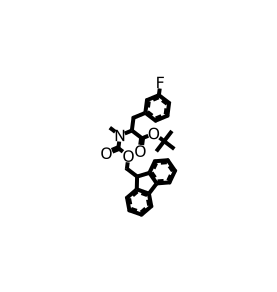 CN(C(=O)OCC1c2ccccc2-c2ccccc21)C(Cc1cccc(F)c1)C(=O)OC(C)(C)C